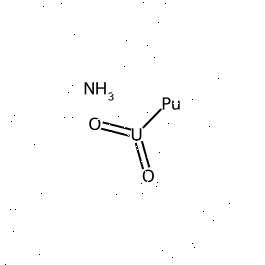 N.[O]=[U](=[O])[Pu]